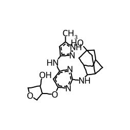 Cc1cc(Nc2cc(OC3COCC3O)nc(NC3C4CC5CC3CC(O)(C5)C4)n2)n[nH]1